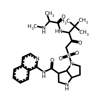 CNC(C)C(=O)NC(C(=O)CS(=O)(=O)N1CCC2NCC(C(=O)Nc3nccc4ccccc34)C21)C(C)(C)C